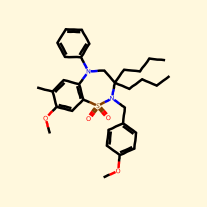 CCCCC1(CCCC)CN(c2ccccc2)c2cc(C)c(OC)cc2S(=O)(=O)N1Cc1ccc(OC)cc1